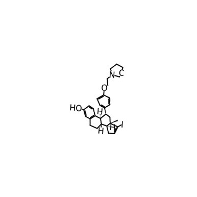 C[C@]12C[C@H](c3ccc(OCCN4CCCCC4)cc3)[C@@H]3c4ccc(O)cc4CC[C@H]3[C@@H]1CC=C2I